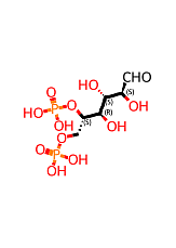 O=C[C@@H](O)[C@@H](O)[C@@H](O)[C@H](COP(=O)(O)O)OP(=O)(O)O